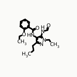 CCCc1nn(CC)c(NC=O)c1NC(=O)c1ccccc1OCC